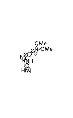 COCCN(CCOC)C(=O)OC1CCc2c(sc3ncnc(Nc4ccc5[nH]ncc5c4)c23)C1